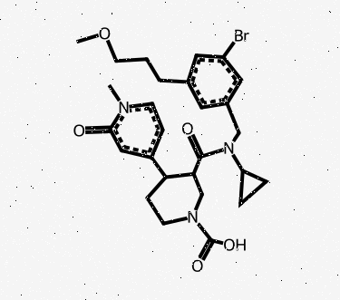 COCCCc1cc(Br)cc(CN(C(=O)C2CN(C(=O)O)CCC2c2ccn(C)c(=O)c2)C2CC2)c1